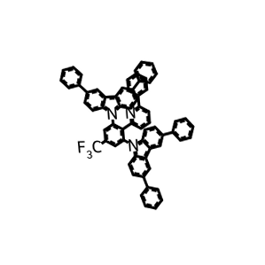 FC(F)(F)c1cc(-n2c3ccc(-c4ccccc4)cc3c3cc(-c4ccccc4)ccc32)c(-c2cccc(-c3ccccc3)n2)c(-n2c3ccc(-c4ccccc4)cc3c3cc(-c4ccccc4)ccc32)c1